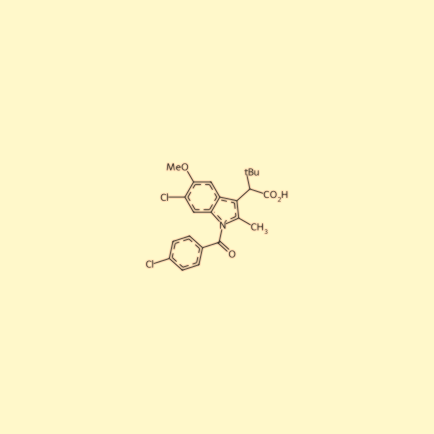 COc1cc2c(C(C(=O)O)C(C)(C)C)c(C)n(C(=O)c3ccc(Cl)cc3)c2cc1Cl